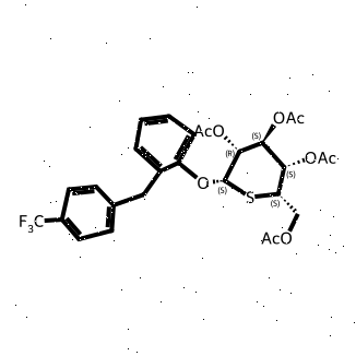 CC(=O)OC[C@@H]1S[C@H](Oc2ccccc2Cc2ccc(C(F)(F)F)cc2)[C@H](OC(C)=O)[C@@H](OC(C)=O)[C@@H]1OC(C)=O